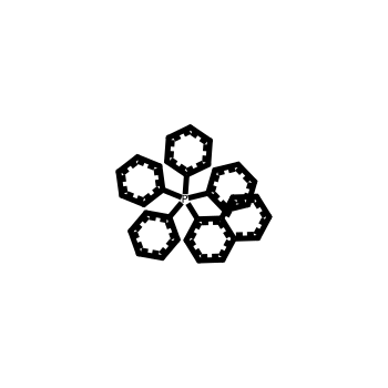 c1ccc(P(c2ccccc2)(c2ccccc2)(c2ccccc2)c2cccc3ccccc23)cc1